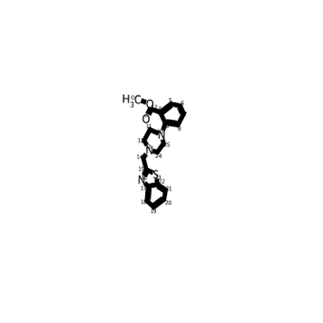 COC(=O)c1ccccc1N1CCN(Cc2nc3ccccc3s2)CC1